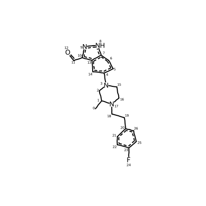 CC1CN(c2ccc3[nH]nc(C=O)c3c2)CCN1CCc1ccc(F)cc1